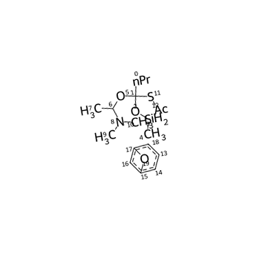 CCCC(O[SiH2]C)(OC(C)N(C)C)SC(C)=O.c1cc2cc(c1)O2